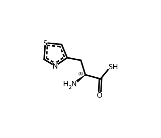 N[C@@H](Cc1cscn1)C(=O)S